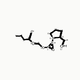 CCCC(=O)OCOn1on1N1CCCC1CO